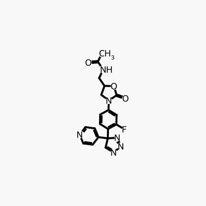 CC(=O)NCC1CN(c2ccc(C3(c4ccncc4)C=NN=N3)c(F)c2)C(=O)O1